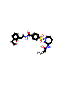 C=CC(=O)NC1CCCCN(S(=O)(=O)c2ccc(C(=O)NCCc3cccc4c3OCC4)cc2)C1